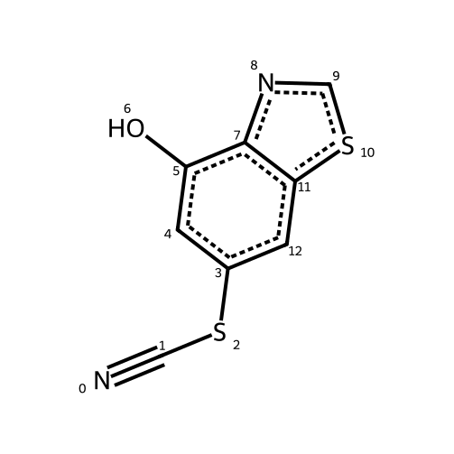 N#CSc1cc(O)c2ncsc2c1